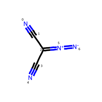 N#CC(C#N)=[N+]=[N-]